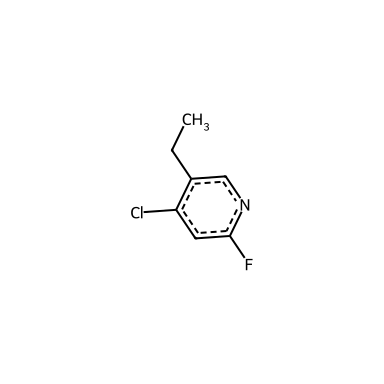 CCc1cnc(F)cc1Cl